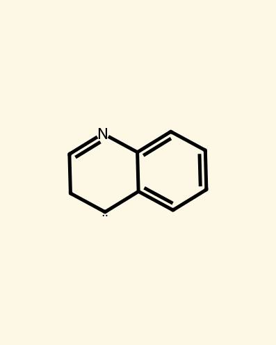 [C]1CC=Nc2ccccc21